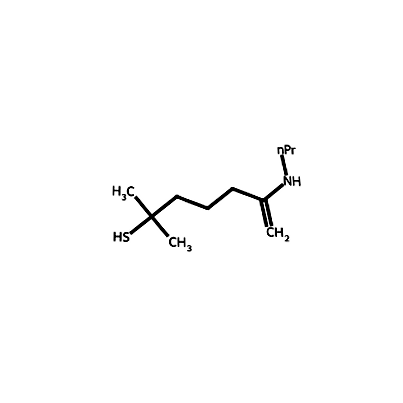 C=C(CCCC(C)(C)S)NCCC